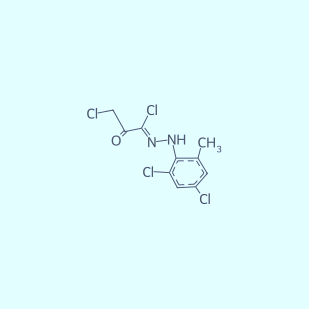 Cc1cc(Cl)cc(Cl)c1NN=C(Cl)C(=O)CCl